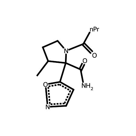 CCCC(=O)N1CCC(C)C1(C(N)=O)c1ccno1